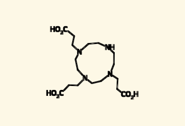 O=C(O)CCN1CCNCCN(CCC(=O)O)CCN(CCC(=O)O)CC1